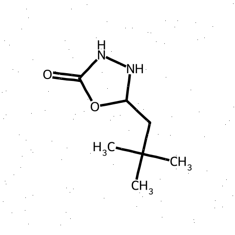 CC(C)(C)CC1NNC(=O)O1